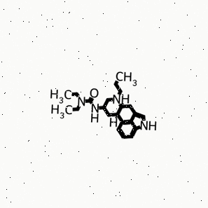 CCCN1CC(NC(=O)N(CC)CC)C[C@@H]2c3cccc4[nH]cc(c34)C[C@H]21